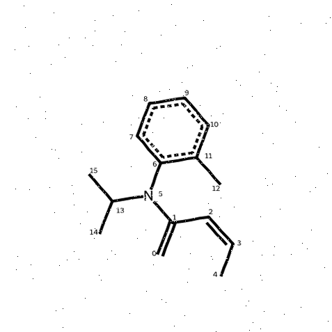 C=C(/C=C\C)N(c1ccccc1C)C(C)C